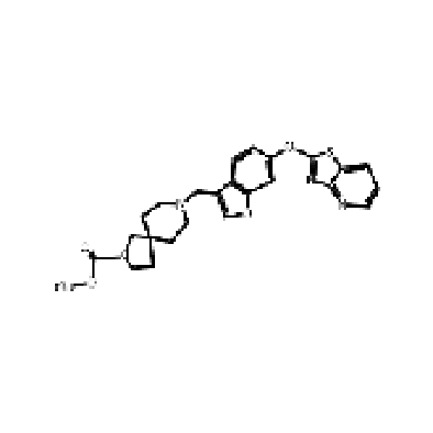 CC(C)(C)OC(=O)N1CCC2(CCN(Cc3coc4cc(Oc5nc6ncccc6s5)ccc34)CC2)C1